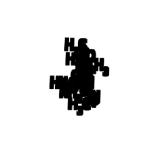 CCOC(=O)C(CS)N(C)c1c(F)c(Oc2cccc(C3=NCCN3C)c2)nc(Oc2cc(C(=N)N)ccc2O)c1F